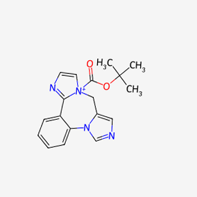 CC(C)(C)OC(=O)[N+]12C=CN=C1c1ccccc1-n1cncc1C2